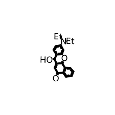 CCN(CC)c1ccc(C(O)C2=CC(=O)c3ccccc3C2=O)cc1